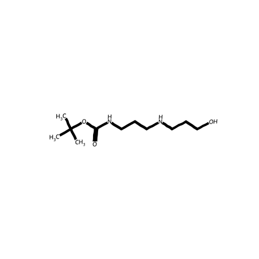 CC(C)(C)OC(=O)NCCCNCCCO